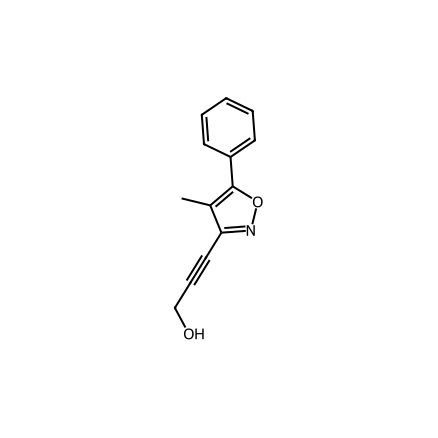 Cc1c(C#CCO)noc1-c1ccccc1